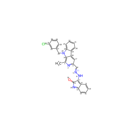 Cc1nc(/C=N/NC2=c3ccccc3=NC2=O)cc2c3ccccc3n(Cc3cccc(Cl)c3)c12